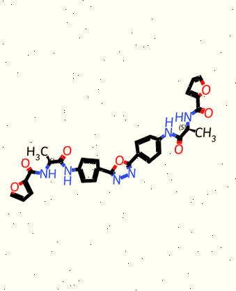 C[C@H](NC(=O)c1ccco1)C(=O)Nc1ccc(-c2nnc(-c3ccc(NC(=O)[C@H](C)NC(=O)c4ccco4)cc3)o2)cc1